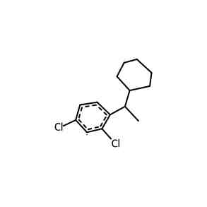 CC(c1ccc(Cl)[c]c1Cl)C1CCCCC1